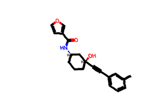 Cc1cccc(C#C[C@]2(O)CCC[C@H](NC(=O)c3ccoc3)C2)c1